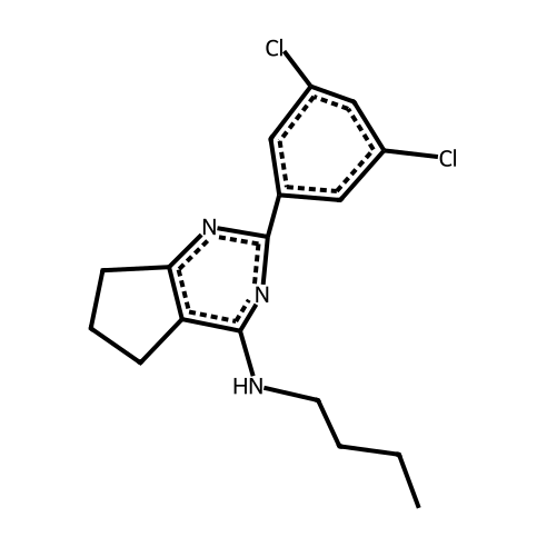 CCCCNc1nc(-c2cc(Cl)cc(Cl)c2)nc2c1CCC2